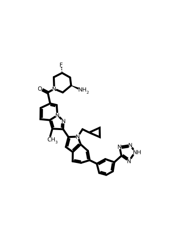 Cc1c(-c2cc3ccc(-c4cccc(-c5nn[nH]n5)c4)cc3n2CC2CC2)nn2cc(C(=O)N3C[C@H](N)C[C@@H](F)C3)ccc12